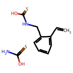 C=Cc1ccccc1CNC(O)=S.NC(O)=S